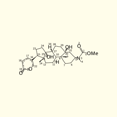 COC(=O)N(C)[C@H]1CC[C@]2(C)[C@H]3CC[C@]4(C)[C@@H](c5ccc(=O)oc5)CC[C@]4(O)[C@@H]3CC[C@]2(O)C1